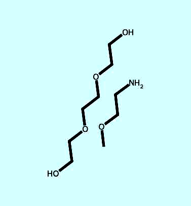 COCCN.OCCOCCOCCO